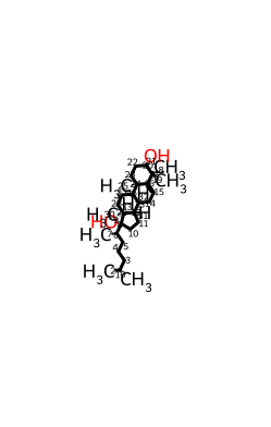 CC(C)CCC[C@@H](C)[C@]1(O)CC[C@H]2[C@@H]3CC=C4C(C)(C)[C@H](O)CC[C@]4(C)[C@H]3CC[C@@]21C